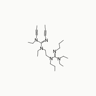 CC#CN=C(N(C#CC)CC)N(CC)CCN(CCC)C(=NCCC)N(CC)CC